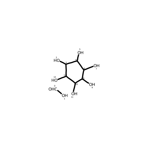 O=CO.OC1C(O)C(O)C(O)C(O)C1O